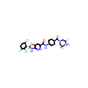 C[C@@H]1CN(C(=O)c2ccc(NC(=O)c3cc4c(nn3)N[C@H](c3c(Cl)ccc(F)c3Cl)O4)cc2)C[C@H](C)N1